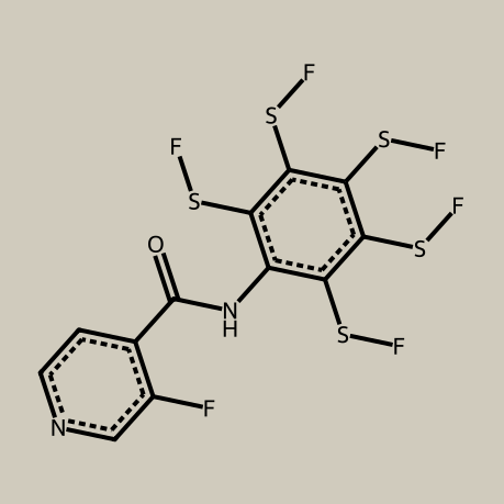 O=C(Nc1c(SF)c(SF)c(SF)c(SF)c1SF)c1ccncc1F